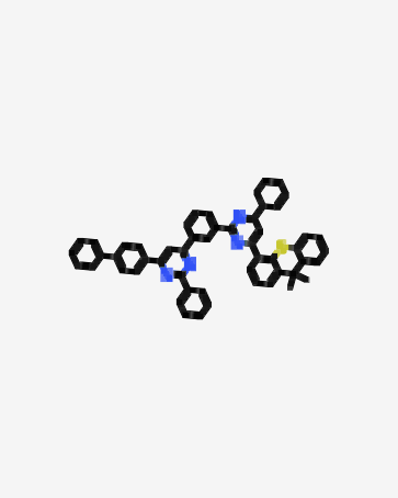 CC1(C)c2ccccc2Sc2c(-c3cc(C4C=CC=CC4)nc(-c4cccc(-c5cc(-c6ccc(-c7ccccc7)cc6)nc(-c6ccccc6)n5)c4)n3)cccc21